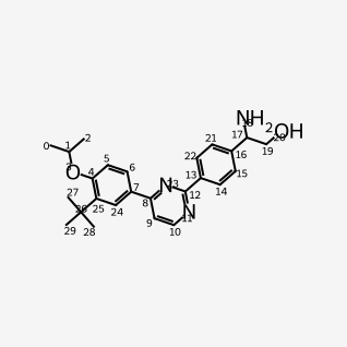 CC(C)Oc1ccc(-c2ccnc(-c3ccc(C(N)CO)cc3)n2)cc1C(C)(C)C